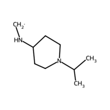 [CH2]NC1CCN(C(C)C)CC1